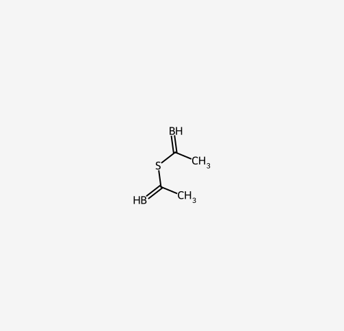 B=C(C)SC(=B)C